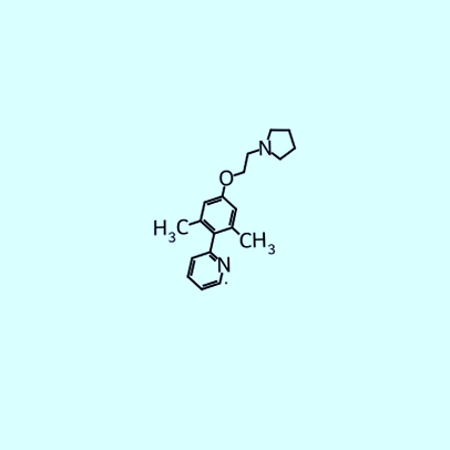 Cc1cc(OCCN2CCCC2)cc(C)c1-c1ccc[c]n1